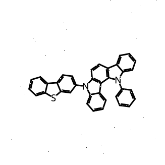 c1ccc(-n2c3ccccc3c3ccc4c(c5ccccc5n4-c4ccc5c(c4)sc4ccccc45)c32)cc1